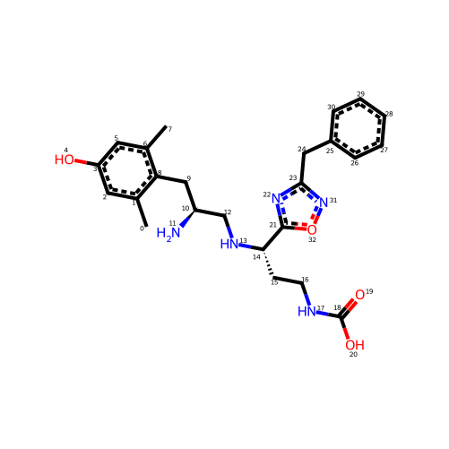 Cc1cc(O)cc(C)c1C[C@H](N)CN[C@@H](CCNC(=O)O)c1nc(Cc2ccccc2)no1